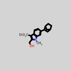 CCOC(=O)c1c(CO)n(C)c2cc(C3CC4CCC3C4)ccc12